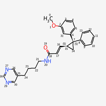 COc1cccc([C@@]2(c3ccccc3)C[C@H]2C=CC(=O)NCCCCc2cncnc2)c1